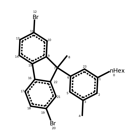 CCCCCCc1cc(C)cc(C2(C)c3cc(Br)ccc3-c3ccc(Br)cc32)c1